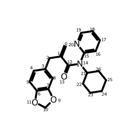 C=C(Cc1ccc2c(c1)OCO2)C(=O)N(c1ccccn1)C1CCCCC1